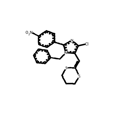 O=[N+]([O-])c1ccc(-c2nc(Cl)c(C=C3SCCCS3)n2Cc2ccccc2)cc1